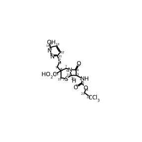 O=C(NC1C(=O)N2CC(CSc3ccc(O)nn3)(C(=O)O)CS[C@H]12)OCC(Cl)(Cl)Cl